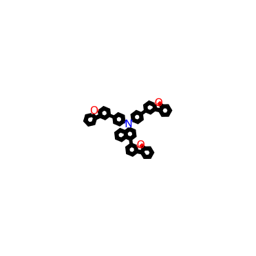 c1ccc2c(c1)oc1ccc(-c3ccc(N(c4ccc(-c5ccc6oc7ccccc7c6c5)cc4)c4ccc(-c5cccc6c5oc5ccccc56)c5ccccc45)cc3)cc12